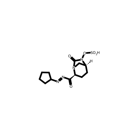 O=C(/N=N/C1CCCC1)[C@@H]1CC[C@H]2CN1C(=O)N2OS(=O)(=O)O